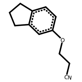 N#CCCOc1ccc2c(c1)CCC2